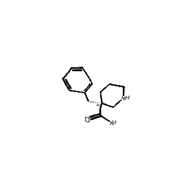 [NH]C(=O)[C@@]1(Cc2ccccc2)CCCNC1